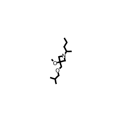 CCCC(C)N1CC(COCC(C)C)(OC)C1